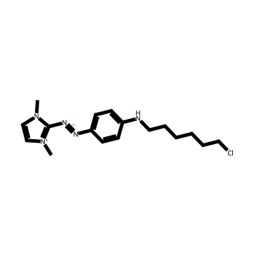 Cn1cc[n+](C)c1/N=N/c1ccc(NCCCCCCCl)cc1